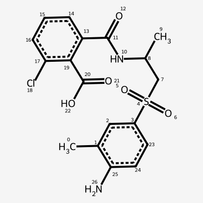 Cc1cc(S(=O)(=O)CC(C)NC(=O)c2cccc(Cl)c2C(=O)O)ccc1N